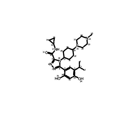 CC(C)c1cc(-c2nnc(C(=O)NC3CC3)n2C2CCC(N3CCN(C)CC3)CC2)c(O)cc1O